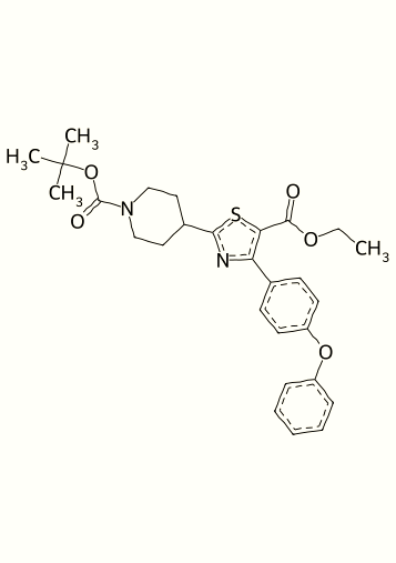 CCOC(=O)c1sc(C2CCN(C(=O)OC(C)(C)C)CC2)nc1-c1ccc(Oc2ccccc2)cc1